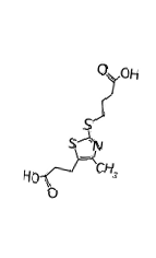 Cc1nc(SCCCC(=O)O)sc1CCC(=O)O